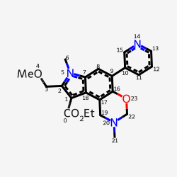 CCOC(=O)c1c(COC)n(C)c2cc(-c3cccnc3)c3c(c12)CN(C)CO3